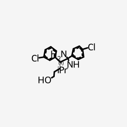 CC(C)NC(N)(c1ccc(Cl)cc1)[C@H](CCCO)c1cccc(Cl)c1